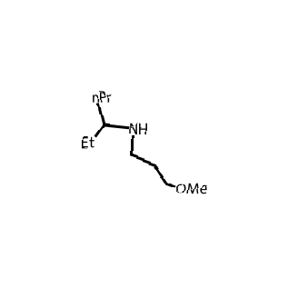 CCCC(CC)NCCCOC